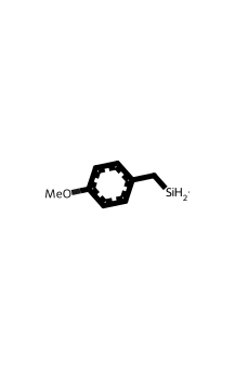 COc1ccc(C[SiH2])cc1